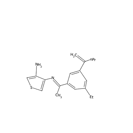 C=C(CCC)c1cc(CC)cc(/C(C)=N/c2cscc2N)c1